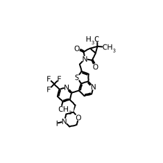 Cc1cc(C(F)(F)F)nc(-c2ccnc3cc(CN4C(=O)C5C(C4=O)C5(C)C)sc23)c1C[C@@H]1CN(I)CCO1